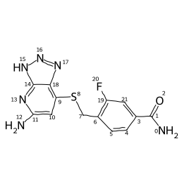 NC(=O)c1ccc(CSc2cc(N)nc3[nH]nnc23)c(F)c1